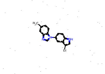 CCc1c[nH]c2ccc(-n3cnc4cc(C)ccc43)cc12